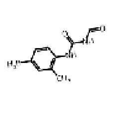 Bc1ccc(NC(=O)NC=O)c(C)c1